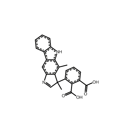 Cc1c2c(cc3c1[nH]c1ccccc13)N=CC2(C)c1cccc(C(=O)O)c1C(=O)O